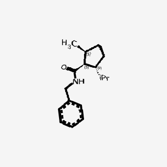 CC(C)[C@H]1CC[C@H](C)[C@@H]1C(=O)NCc1ccccc1